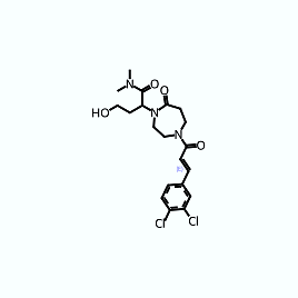 CN(C)C(=O)C(CCO)N1CCN(C(=O)/C=C/c2ccc(Cl)c(Cl)c2)CCC1=O